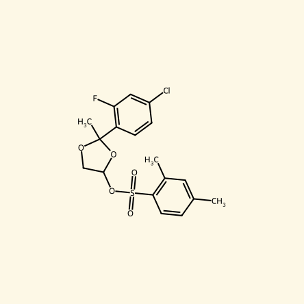 Cc1ccc(S(=O)(=O)OC2COC(C)(c3ccc(Cl)cc3F)O2)c(C)c1